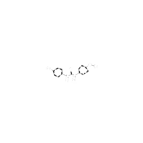 CCOc1ccc(NC(=O)Nc2ccc(C(C)C)cc2)cc1